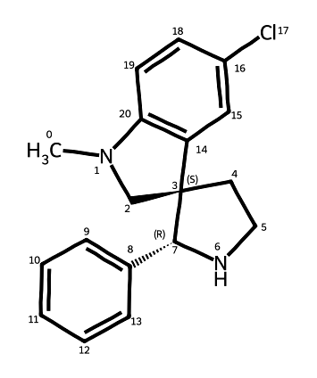 CN1C[C@]2(CCN[C@@H]2c2ccccc2)c2cc(Cl)ccc21